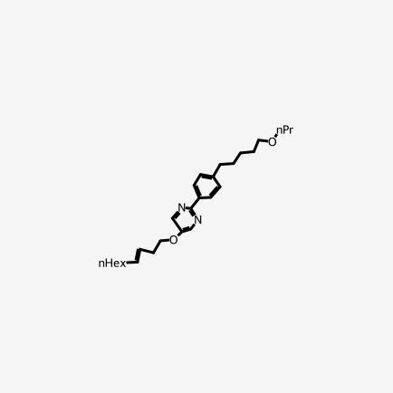 CCCCCCC=CCCOc1cnc(-c2ccc(CCCCCOCCC)cc2)nc1